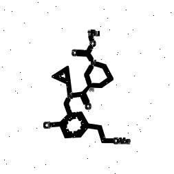 COCCc1ccc(Cl)c(CN(C(=O)[C@@H]2CCCN(C(=O)OC(C)(C)C)C2)C2CC2)c1